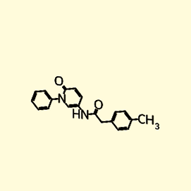 Cc1ccc(CC(=O)Nc2ccc(=O)n(-c3ccccc3)c2)cc1